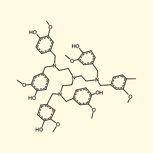 COc1cc(CN(CCN(CCN(Cc2ccc(O)c(OC)c2)Cc2ccc(O)c(OC)c2)CCN(Cc2ccc(O)c(OC)c2)Cc2ccc(O)c(OC)c2)Cc2ccc(O)c(OC)c2)ccc1C